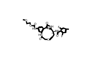 COCCOC(=O)Nc1ccc2c(c1)NC(=O)CCC=CC[C@H](NC(=O)c1c(F)cc(C)cc1F)c1nc-2c(Cl)[nH]1